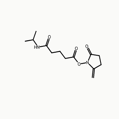 C=C1CCC(=O)N1OC(=O)CCCC(=O)NC(C)C